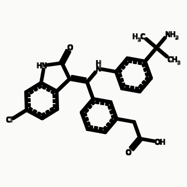 CC(C)(N)c1cccc(N/C(=C2\C(=O)Nc3cc(Cl)ccc32)c2cccc(CC(=O)O)c2)c1